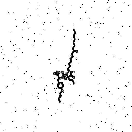 CCCCCCCC(=O)CCCCCCC=C[C@H](C(=O)N[C@@H](Cc1ccc(OCCCC)cc1)C(=O)O)[C@@](O)(CCF)C(=O)O